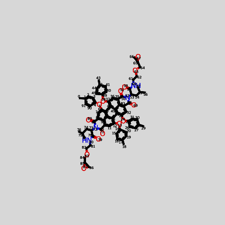 Cc1ccc(Oc2cc3c4c(cc(Oc5ccc(C)cc5)c5c6c(Oc7ccc(C)cc7)cc7c8c(cc(Oc9ccc(C)cc9)c(c2c45)c86)C(=O)N(C(CC(C)C)C(=O)NCCOCC2CO2)C7=O)C(=O)N(C(CC(C)C)C(=O)NCCOCC2CO2)C3=O)cc1